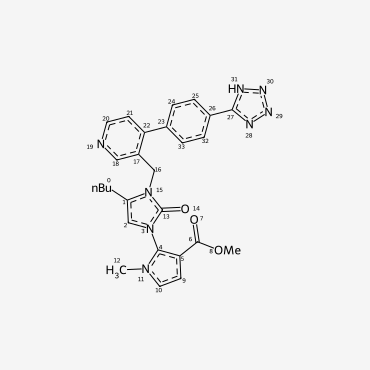 CCCCc1cn(-c2c(C(=O)OC)ccn2C)c(=O)n1Cc1cnccc1-c1ccc(-c2nnn[nH]2)cc1